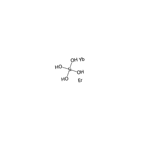 O[Si](O)(O)O.[Er].[Yb]